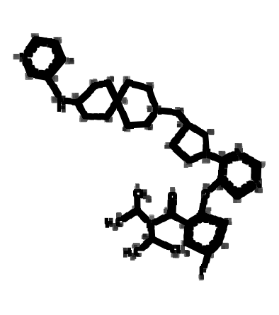 CC(C)N(C(=O)c1cc(F)ccc1Oc1cncnc1N1CCC(CN2CCC3(CCC(Nc4cccnc4)CC3)CC2)C1)C(C)C